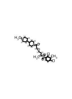 Cc1c(Cl)ccc(S(=O)(=O)N(C)CCOCC(=O)N2CCC(C3CCN(C)CC3)CC2)c1Cl